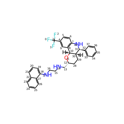 FC(F)(F)c1ccc2c(c1)[C@H]1O[C@@H](CNCCNc3cccc4ccccc34)CC[C@H]1[C@H](c1ccccc1)N2